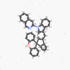 c1ccc2c(c1)Oc1ccccc1C21c2ccccc2-c2cc3c4ccccc4n(-c4cc5ccccc5cn4)c3cc21